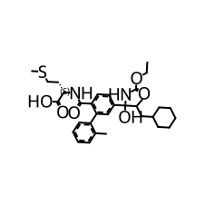 CCOC(=O)NC(O)(c1ccc(C(=O)N[C@@H](CCSC)C(=O)O)c(-c2ccccc2C)c1)C(C)CC1CCCCC1